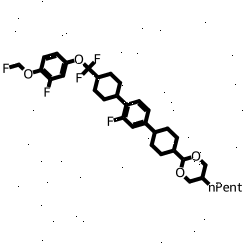 CCCCCC1COC(C2CCC(c3ccc(C4CCC(C(F)(F)Oc5ccc(OCF)c(F)c5)CC4)c(F)c3)CC2)OC1